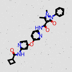 Cc1c(C(=O)Nc2ccc(Oc3ccnc(NC(=O)C4CCC4)c3)cn2)c(=O)n(-c2ccccc2)n1C